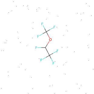 FC(OC(F)(F)F)C(F)(F)F